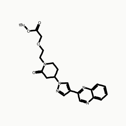 CC(C)(C)OC(=O)COCCN1CCC(n2cc(-c3cnc4ccccc4n3)cn2)CC1=O